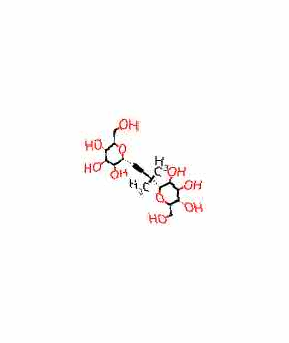 CC(C)(C#C[C@H]1O[C@H](CO)[C@@H](O)[C@H](O)[C@@H]1O)[C@H]1O[C@H](CO)[C@@H](O)[C@H](O)[C@@H]1O